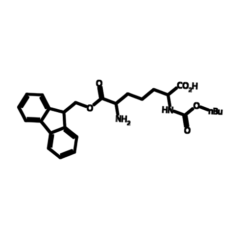 CCCCOC(=O)NC(CCCC(N)C(=O)OCC1c2ccccc2-c2ccccc21)C(=O)O